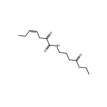 CC/C=C\CC(=O)C(=O)NCCCC(=O)OCC